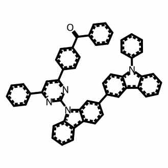 O=C(c1ccccc1)c1ccc(-c2cc(-c3ccccc3)nc(-n3c4ccccc4c4ccc(-c5ccc6c(c5)c5ccccc5n6-c5ccccc5)cc43)n2)cc1